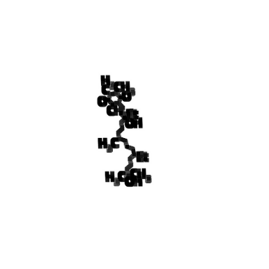 CCC(CCCC(C)CCCC(O)(CC)CCC1=C(C)C(=O)C(C)=C(C)C1=O)CCCC(C)(C)O